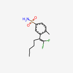 CCCCC(=C(F)F)c1cc(S(N)(=O)=O)ccc1C